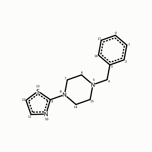 c1ccc(CN2CCN(c3nccs3)CC2)cc1